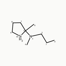 CCCN(C)C1(C)CCC[SiH2]1